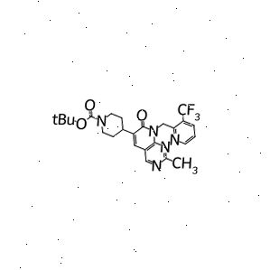 Cc1ncc2cc(C3CCN(C(=O)OC(C)(C)C)CC3)c(=O)n(Cc3ncccc3C(F)(F)F)c2n1